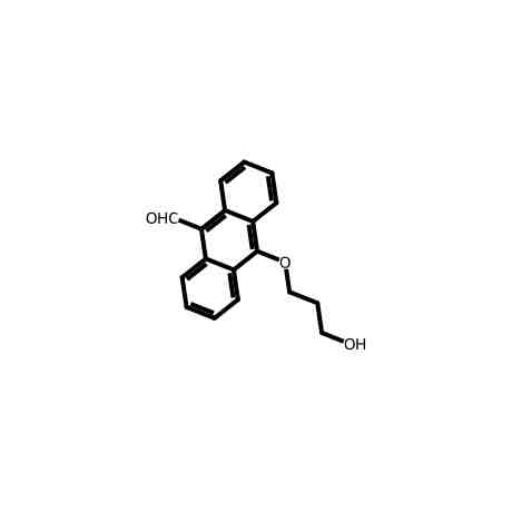 O=Cc1c2ccccc2c(OCCCO)c2ccccc12